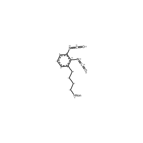 CCCCCCCCCCCCCc1cccc(N=C=O)c1N=C=O